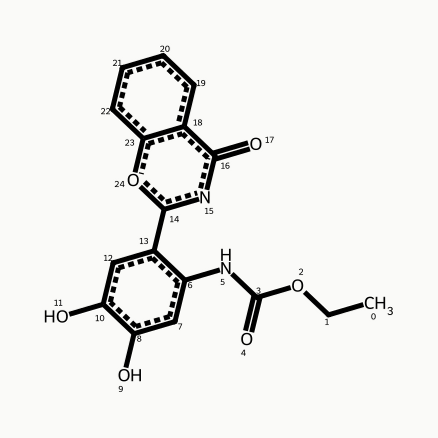 CCOC(=O)Nc1cc(O)c(O)cc1-c1nc(=O)c2ccccc2o1